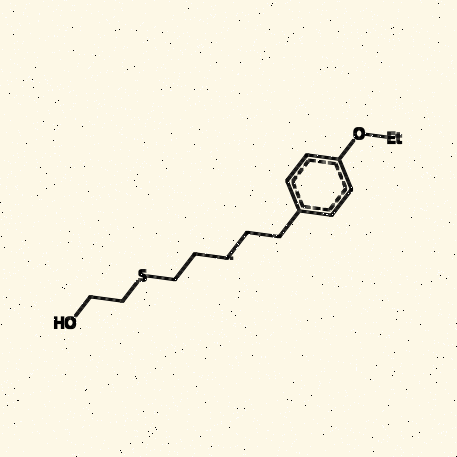 CCOc1ccc(CC[CH]CCSCCO)cc1